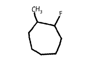 CC1CCCCCC1F